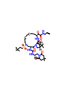 C=CCNC(=O)C(=O)[C@@H]1CCCCCCCN(S(=O)(=O)CC[Si](C)(C)C)C[C@H](NC(=O)N[C@H](CN2C(=O)CC(C)(C)CC2=O)C(C)(C)C)C(=O)N2C[C@H]3[C@@H]([C@H]2C(=O)N1)C3(C)C